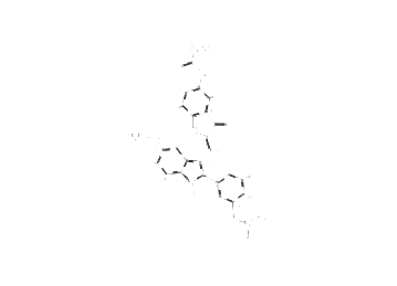 CNC(=O)Nc1ccc2c(c1)C(=O)/C(=C/c1c(-c3cccc(CN(C)C)c3)[nH]c3ccc(OC)cc13)O2